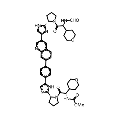 COC(=O)N[C@H](C(=O)N1CCC[C@H]1c1ncc(-c2ccc(-c3ccc4cc(-c5c[nH]c([C@@H]6CCCN6C(=O)[C@@H](NC=O)C6CCOCC6)n5)cnc4c3)cc2)[nH]1)C1CCOCC1